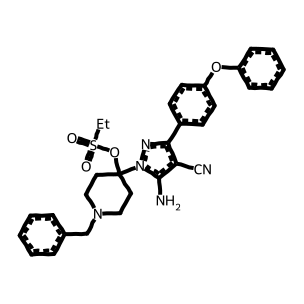 CCS(=O)(=O)OC1(n2nc(-c3ccc(Oc4ccccc4)cc3)c(C#N)c2N)CCN(Cc2ccccc2)CC1